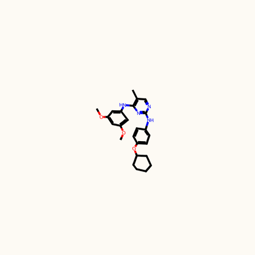 COc1cc(Nc2nc(Nc3ccc(OC4CCCCC4)cc3)ncc2C)cc(OC)c1